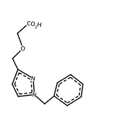 O=C(O)COCc1ccn(Cc2ccccc2)n1